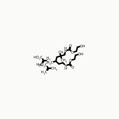 C=C(C)C(=O)O.C=C(C)C(=O)O.CC(CCNC(=O)OCCO)CC(C)(C)CNC(=O)OCCO